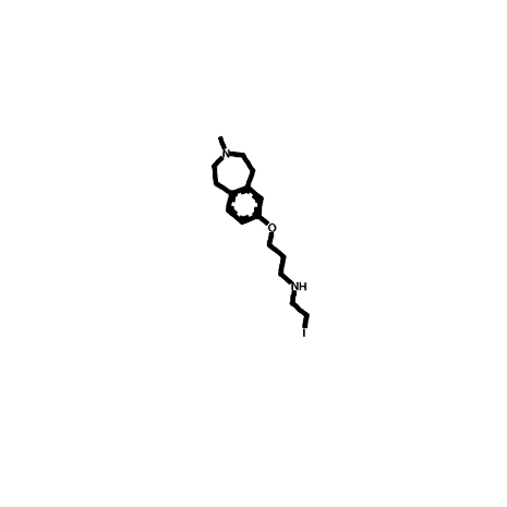 CN1CCc2ccc(OCCCNCCI)cc2CC1